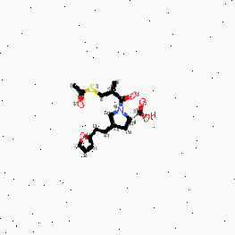 CC(=O)SCC(C)C(=O)N1CC(CCc2ccco2)C[C@H]1C(=O)O